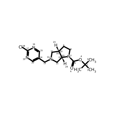 CC(C)(C)OC(=O)N1CC[C@H]2CN(Cc3cnc(Cl)nc3)C[C@H]21